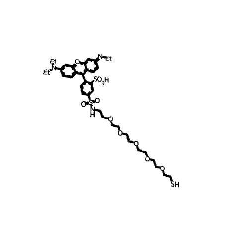 CC/N=c1\ccc2c(-c3ccc(S(=O)(=O)NCCOCCOCCOCCOCCOCCS)cc3S(=O)(=O)O)c3ccc(N(CC)CC)cc3oc-2c1